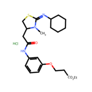 CCOC(=O)CCOc1cccc(NC(=O)CC2CSC(=NC3CCCCC3)N2C)c1.Cl